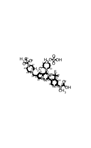 CS(=O)(=O)O.C[C@H]1COCCN1c1nc(-c2cnc(N(C)C(=O)O)cc2C(F)(F)F)nn2cc(CN3CCN(S(C)(=O)=O)CC3)cc12